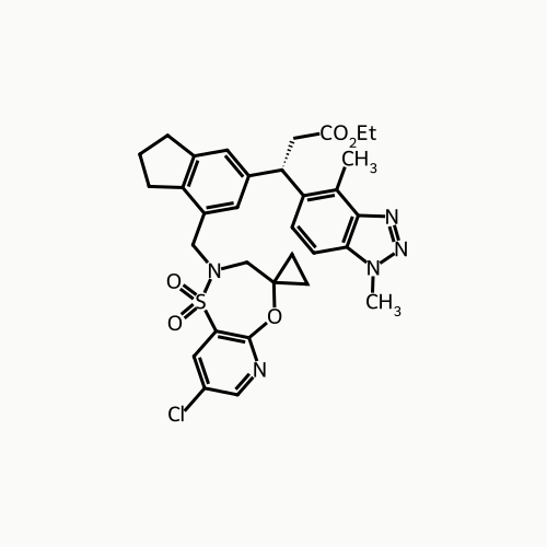 CCOC(=O)C[C@@H](c1cc2c(c(CN3CC4(CC4)Oc4ncc(Cl)cc4S3(=O)=O)c1)CCC2)c1ccc2c(nnn2C)c1C